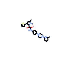 Cc1cccc(N2CCN(c3ccc(NC(=O)C(=O)c4c(-c5cccs5)cc(C)n4C)cc3)CC2)n1